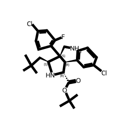 CC(C)(C)C[C@@H]1N[C@@H](C(=O)OC(C)(C)C)[C@H](c2cccc(Cl)c2)[C@@]1(CN)c1ccc(Cl)cc1F